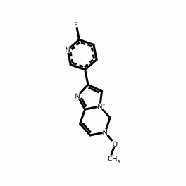 CON1C=CC2=NC(c3ccc(F)nc3)=C[N+]2C1